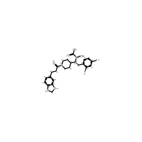 CCC(=O)N(C)[C@@H](Cc1ccc(F)cc1F)C1CCN(C(=O)CCc2ccc3c(c2)OCO3)CC1